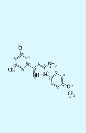 N=C(/C=C(/N)Nc1ccc(OC(F)(F)F)cc1)c1cc(Cl)cc(Cl)c1